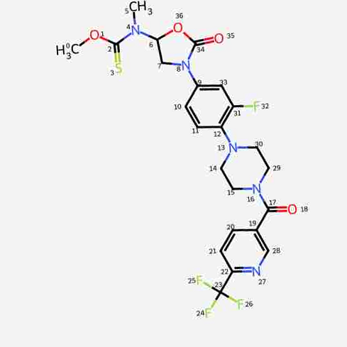 COC(=S)N(C)C1CN(c2ccc(N3CCN(C(=O)c4ccc(C(F)(F)F)nc4)CC3)c(F)c2)C(=O)O1